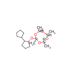 C[SiH]1O[SiH](C)O[Si](C)(OC2CCCC2C2CCCC2)O[SiH](C)O1